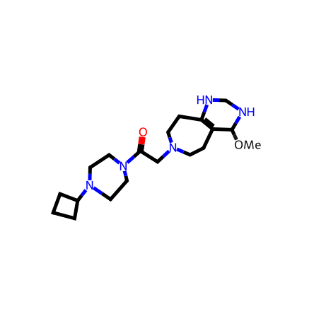 COC1NCNC2=C1CCN(CC(=O)N1CCN(C3CCC3)CC1)CC2